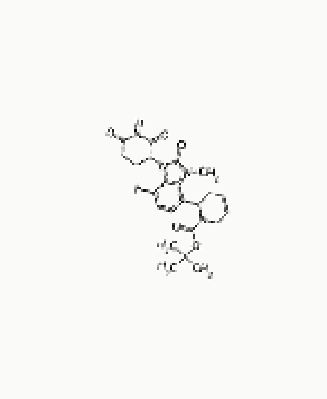 Cn1c(=O)n(C2CCC(=O)NC2=O)c2c(F)ccc(C3CC=CCN3C(=O)OC(C)(C)C)c21